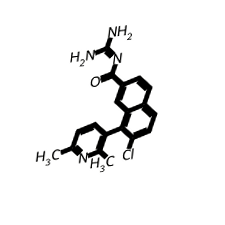 Cc1ccc(-c2c(Cl)ccc3ccc(C(=O)N=C(N)N)cc23)c(C)n1